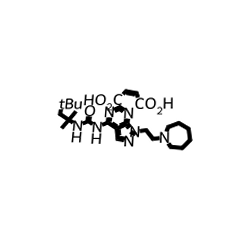 CC(C)(C)CC(C)(C)NC(=O)Nc1ncnc2c1cnn2CCN1CCCCCC1.O=C(O)/C=C\C(=O)O